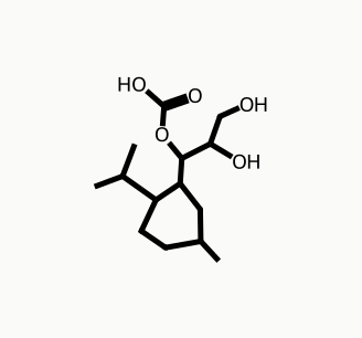 CC1CCC(C(C)C)C(C(OC(=O)O)C(O)CO)C1